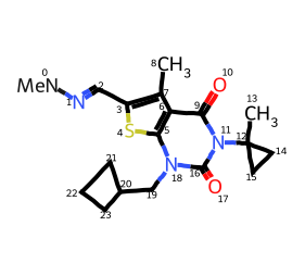 CN/N=C/c1sc2c(c1C)c(=O)n(C1(C)CC1)c(=O)n2CC1CCC1